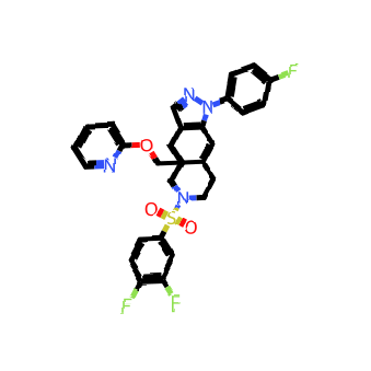 O=S(=O)(c1ccc(F)c(F)c1)N1CCC2=Cc3c(cnn3-c3ccc(F)cc3)CC2(COc2ccccn2)C1